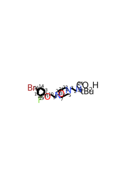 CC(C)(C)N(CCN1CC2CN(CCOc3ccc(Br)cc3F)CC(C1)O2)C(=O)O